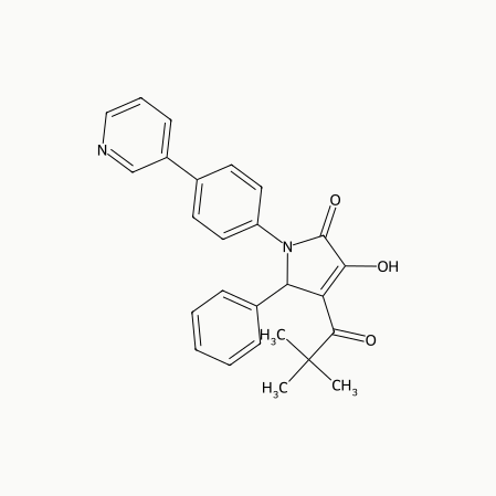 CC(C)(C)C(=O)C1=C(O)C(=O)N(c2ccc(-c3cccnc3)cc2)C1c1ccccc1